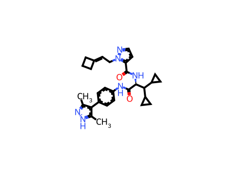 Cc1n[nH]c(C)c1-c1ccc(NC(=O)[C@@H](NC(=O)c2ccnn2CC=C2CCC2)C(C2CC2)C2CC2)cc1